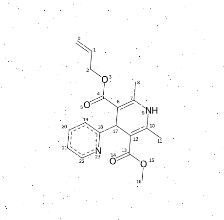 C=CCOC(=O)C1=C(C)NC(C)=C(C(=O)OC)C1c1ccccn1